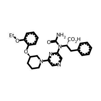 CCOc1ccccc1O[C@@H]1CCCN(c2cncc(N(C(N)=O)[C@@H](Cc3ccccc3)C(=O)O)n2)C1